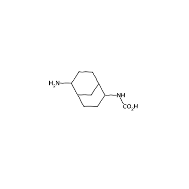 NC1CCC2CC1CCC2NC(=O)O